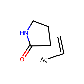 C=[CH][Ag].O=C1CCCN1